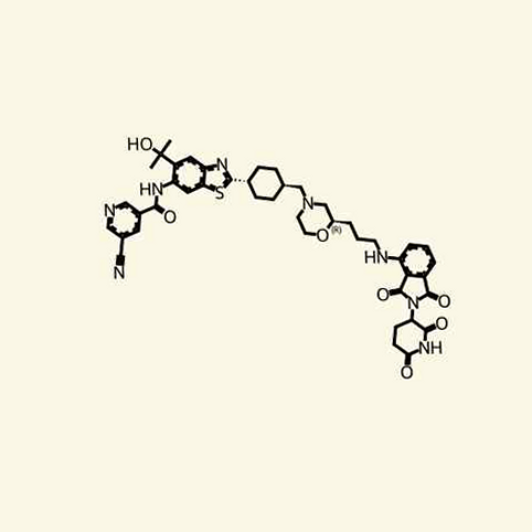 CC(C)(O)c1cc2nc([C@H]3CC[C@H](CN4CCO[C@H](CCCNc5cccc6c5C(=O)N(C5CCC(=O)NC5=O)C6=O)C4)CC3)sc2cc1NC(=O)c1cncc(C#N)c1